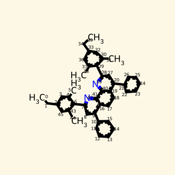 CCc1cc(C)c(-c2cc(-c3ccccc3)c3ccc4c(-c5ccccc5)cc(-c5c(C)cc(CC)cc5C)nc4c3n2)c(C)c1